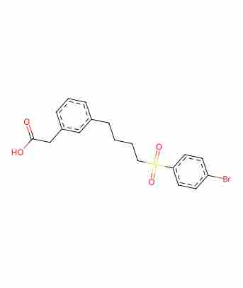 O=C(O)Cc1cccc(CCCCS(=O)(=O)c2ccc(Br)cc2)c1